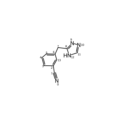 N#Cc1cccc(Cc2nnc[nH]2)c1